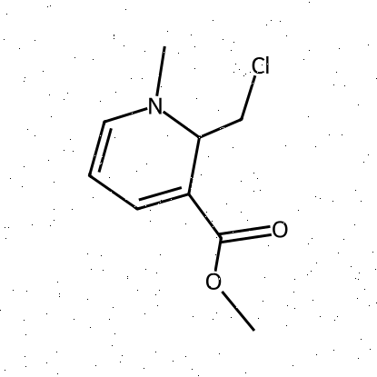 COC(=O)C1=CC=CN(C)C1CCl